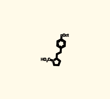 CCCCCCCCc1ccc(CCC2CCCN2C(=O)O)cc1